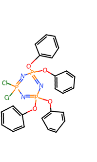 ClP1(Cl)=NP(Oc2ccccc2)(Oc2ccccc2)=NP(Oc2ccccc2)(Oc2ccccc2)=N1